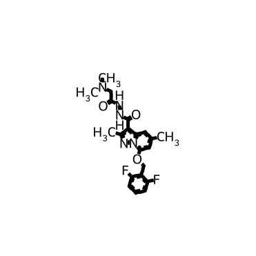 Cc1cc(OCc2c(F)cccc2F)n2nc(C)c(C(=O)NNC(=O)CN(C)C)c2c1